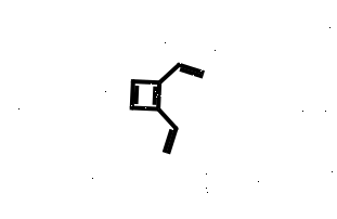 C=CC1=C(C=C)C=C1